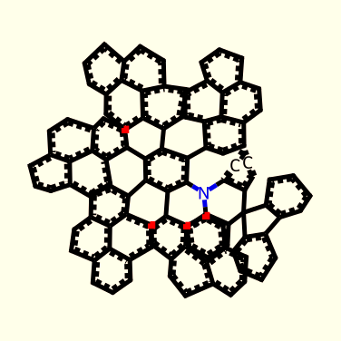 c1ccc2c(c1)-c1ccccc1C21c2ccccc2N(c2c(-c3ccc4ccc5cccc6ccc3c4c56)c(-c3ccc4ccc5cccc6ccc3c4c56)c(-c3ccc4ccc5cccc6ccc3c4c56)c(-c3ccc4ccc5cccc6ccc3c4c56)c2-c2ccc3ccc4cccc5ccc2c3c45)c2ccccc21